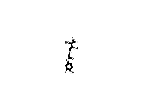 CCC(O)C(O)C(O)COCC(=O)Oc1ccc(O)c(O)c1